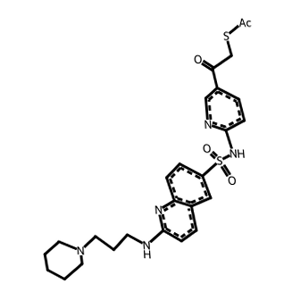 CC(=O)SCC(=O)c1ccc(NS(=O)(=O)c2ccc3nc(NCCCN4CCCCC4)ccc3c2)nc1